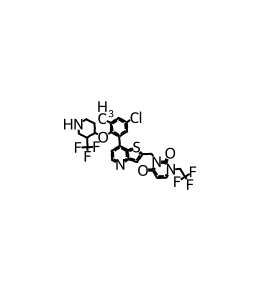 Cc1cc(Cl)cc(-c2ccnc3cc(Cn4c(=O)ccn(CC(F)(F)F)c4=O)sc23)c1OC1CCNCC1C(F)(F)F